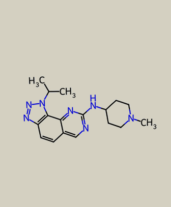 CC(C)n1nnc2ccc3cnc(NC4CCN(C)CC4)nc3c21